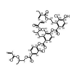 C=CC(=O)OC(C)COC(=O)c1ccc(OC(=O)c2ccc(OC(=O)c3ccc(O)c(Cl)c3CCOC(=O)C(=C)C)c(Cl)c2CC(C)OC(=O)C=C)c(Cl)c1